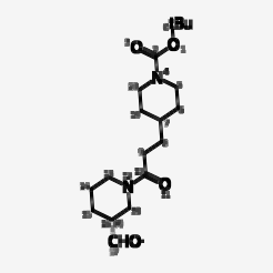 CC(C)(C)OC(=O)N1CCC(CCC(=O)N2CCC[C@@H]([C]=O)C2)CC1